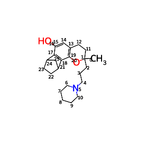 CC1(CCCN2CCCCC2)CCc2cc(O)c3c(c2O1)C1CCC3C1